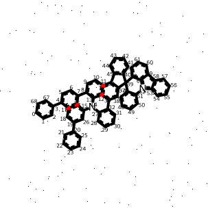 c1ccc(-c2ccc(-c3ccccc3N(c3cccc(-c4ccccc4)c3)c3ccccc3-c3ccc4c(c3)C3(c5ccccc5-4)c4ccccc4-n4c5ccccc5c5cccc3c54)cc2)cc1